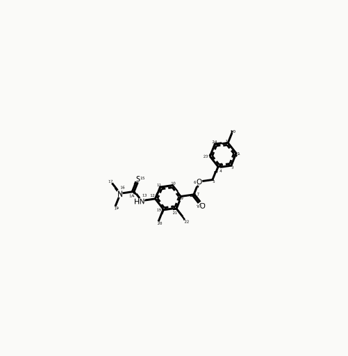 Cc1ccc(COC(=O)c2ccc(NC(=S)N(C)C)c(C)c2C)cc1